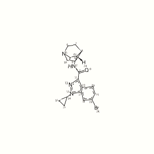 O=C(N[C@@H]1CN2CCC1CC2)c1nn(C2CC2)c2cc(Br)ccc12